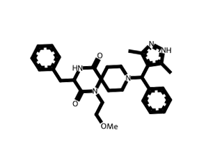 COCCN1C(=O)C(Cc2ccccc2)NC(=O)C12CCN(C(c1ccccc1)c1c(C)n[nH]c1C)CC2